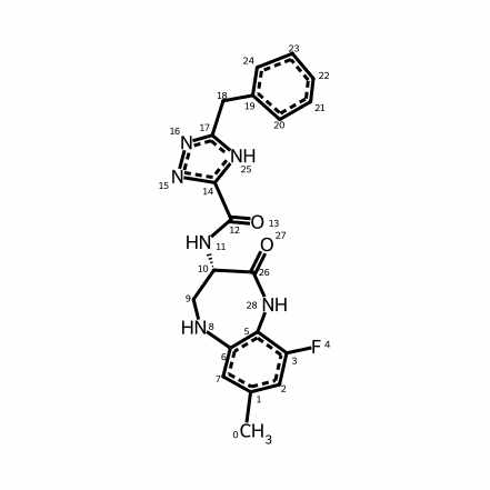 Cc1cc(F)c2c(c1)NC[C@H](NC(=O)c1nnc(Cc3ccccc3)[nH]1)C(=O)N2